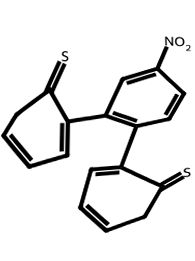 O=[N+]([O-])c1ccc(C2=CC=CCC2=S)c(C2=CC=CCC2=S)c1